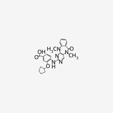 CN1C(=O)c2ccccc2N(C)c2nc(Nc3ccc(C(=O)O)cc3OC3CCCC3)ncc21